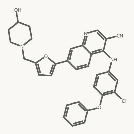 N#Cc1cnc2cc(-c3ccc(CN4CCC(O)CC4)o3)ccc2c1Nc1ccc(Oc2ccccc2)c(Cl)c1